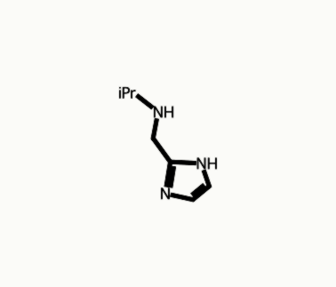 CC(C)NCc1ncc[nH]1